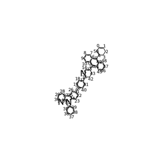 C1=CCCC(c2c3ccccc3c(C3=CN=C(c4ccc(-c5ccc6c(c5)c5cccnc5n6-c5ccccc5)cc4)CC3)c3ccccc23)=C1